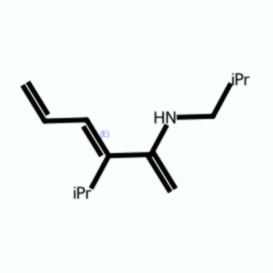 C=C/C=C(/C(=C)NCC(C)C)C(C)C